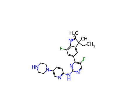 CCC1(C)C(C)=Nc2c(F)cc(-c3nc(Nc4ccc(N5CCNCC5)cn4)ncc3F)cc21